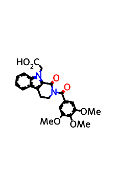 COc1cc(C(=O)N2CCc3c(n(CC(=O)O)c4ccccc34)C2=O)cc(OC)c1OC